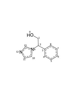 OCC(c1ccccc1)n1ccnc1